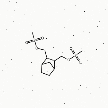 CS(=O)(=O)OCC1C2CCC(C2)C1COS(C)(=O)=O